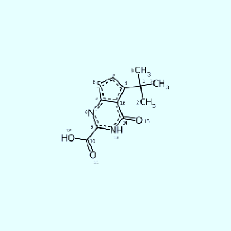 CC(C)(C)c1csc2nc(C(=O)O)[nH]c(=O)c12